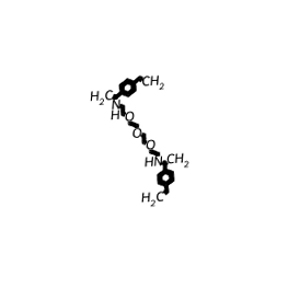 C=Cc1ccc(C(=C)NCCOCCOCCOCCNC(=C)c2ccc(C=C)cc2)cc1